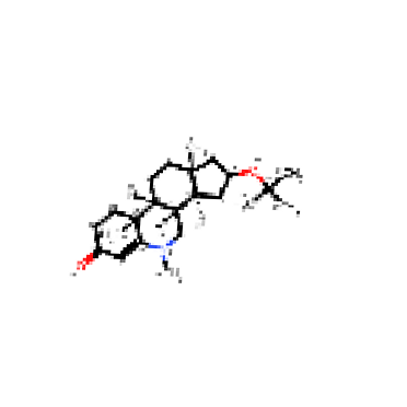 CN1C[C@@H]2[C@@H](CC[C@]3(C)CC(OC(C)(C)C)C[C@@H]23)[C@@]2(C)CCC(=O)C=C12